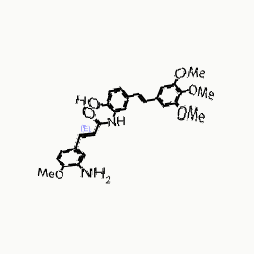 COc1ccc(/C=C/C(=O)Nc2cc(C=Cc3cc(OC)c(OC)c(OC)c3)ccc2O)cc1N